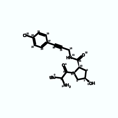 CC(C)(C)C(N)C(=O)N1C[C@H](O)C[C@H]1C(=O)NCC#Cc1ccc(Cl)cc1